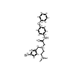 CN(C)CCN(CC(=O)Nc1ccc(Oc2ccccc2)cc1)Cc1ccc(Br)s1